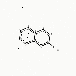 [18F]c1ccc2ccccc2c1